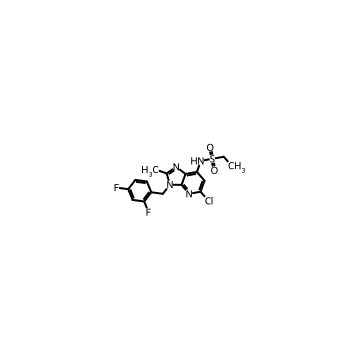 CCS(=O)(=O)Nc1cc(Cl)nc2c1nc(C)n2Cc1ccc(F)cc1F